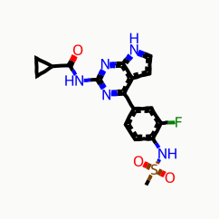 CS(=O)(=O)Nc1ccc(-c2nc(NC(=O)C3CC3)nc3[nH]ccc23)cc1F